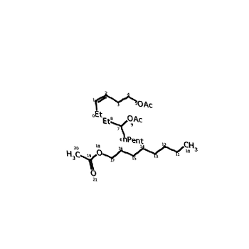 CC/C=C\CCOC(C)=O.CCCCCC(CC)OC(C)=O.CCCCCCCCOC(C)=O